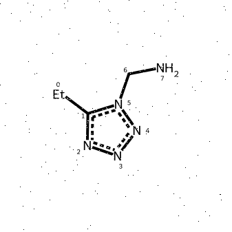 CCc1nnnn1CN